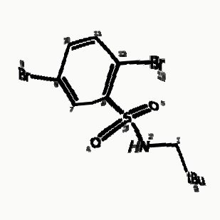 CC(C)(C)CNS(=O)(=O)c1cc(Br)ccc1Br